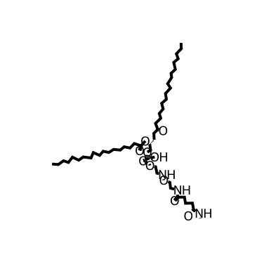 CCCCCCCCCCCCCCCCCC(=O)CC[C@H](COP(=O)(O)OCCNOCCNC(=O)CCCC(=O)NC)OC(=O)CCCCCCCCCCCCCCCCC